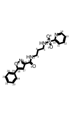 O=C(NCCCNS(=O)(=O)c1ccccn1)c1cc(-c2ccccc2)on1